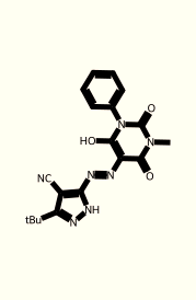 Cn1c(=O)c(/N=N/c2[nH]nc(C(C)(C)C)c2C#N)c(O)n(-c2ccccc2)c1=O